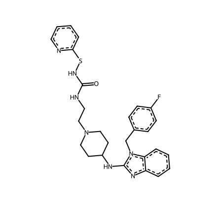 O=C(NCCN1CCC(Nc2nc3ccccc3n2Cc2ccc(F)cc2)CC1)NSc1ccccn1